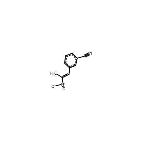 C/C(=C\c1cccc(C#N)c1)[N+](=O)[O-]